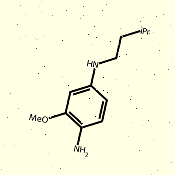 COc1cc(NCCC(C)C)ccc1N